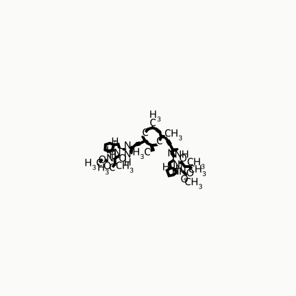 C/C=C1\C=C(\C#Cc2c[nH]c([C@@H]3C[C@@H]4CCCC[C@@H]4N3C(=O)[C@@H](NC(=O)OC)C(C)C)n2)CCC[C@@H](C)/C=C\C(=C(/C)C#Cc2c[nH]c([C@@H]3C[C@@H]4CCCC[C@@H]4N3C(=O)[C@@H](NC(=O)OC)C(C)C)n2)CC1